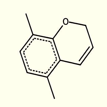 Cc1ccc(C)c2c1C=CCO2